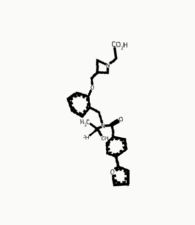 [2H]C(C)(C)N(Cc1ccccc1OCC1CN(CC(=O)O)C1)C(=O)c1ccc(-c2ccco2)cc1